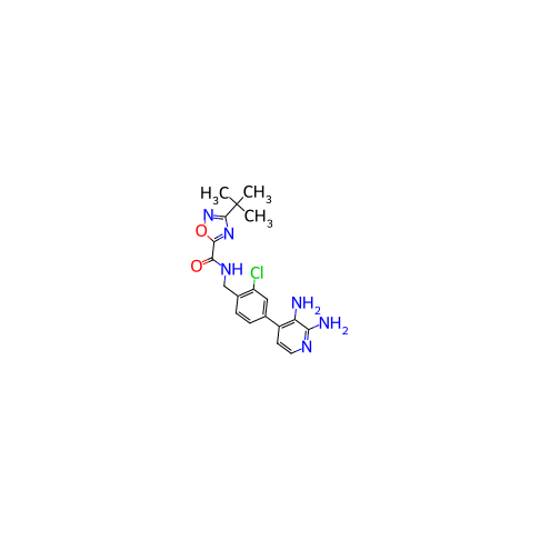 CC(C)(C)c1noc(C(=O)NCc2ccc(-c3ccnc(N)c3N)cc2Cl)n1